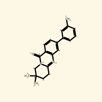 Cc1cccc(-c2ccc3c(=O)n4c(nc3c2)CCC(C)(C)C4)c1